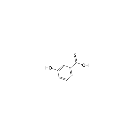 OC(=S)c1cccc(O)c1